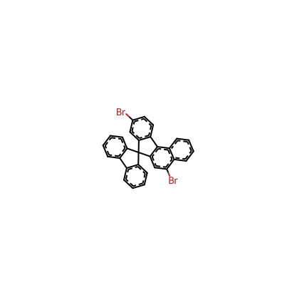 Brc1ccc2c(c1)C1(c3ccccc3-c3ccccc31)c1cc(Br)c3ccccc3c1-2